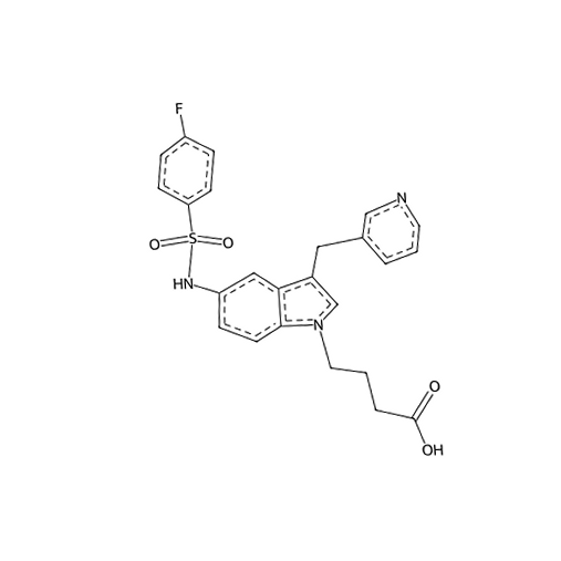 O=C(O)CCCn1cc(Cc2cccnc2)c2cc(NS(=O)(=O)c3ccc(F)cc3)ccc21